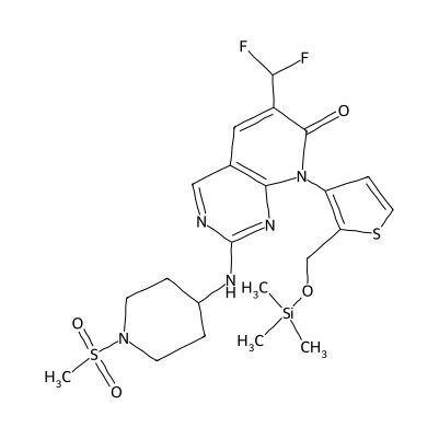 C[Si](C)(C)OCc1sccc1-n1c(=O)c(C(F)F)cc2cnc(NC3CCN(S(C)(=O)=O)CC3)nc21